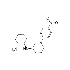 N[C@@H]1CCCC[C@H]1N[C@@H]1CCCN(c2ccc([N+](=O)[O-])cc2)C1